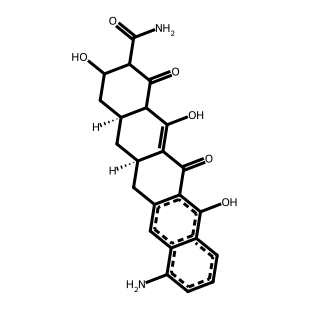 NC(=O)C1C(=O)C2C(O)=C3C(=O)c4c(cc5c(N)cccc5c4O)C[C@H]3C[C@H]2CC1O